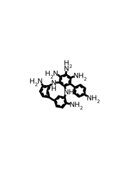 Nc1ccc(-c2c(N)c(N)c(N)c3c2Nc2cc(ccc2N)-c2ccc(N)c(c2)N3)cc1